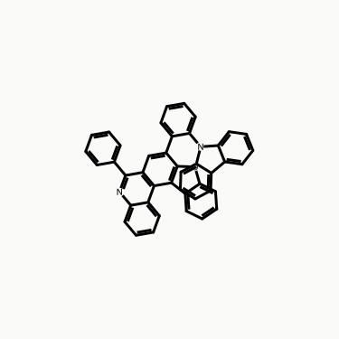 c1ccc(-c2nc3ccccc3c3c2cc(-c2ccccc2-n2c4ccccc4c4ccccc42)c2oc4ccccc4c23)cc1